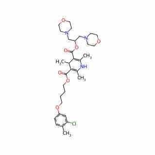 CC1=C(C(=O)OCCCCOc2ccc(C)c(Cl)c2)C(C)C(C(=O)OC(CN2CCOCC2)CN2CCOCC2)=C(C)N1